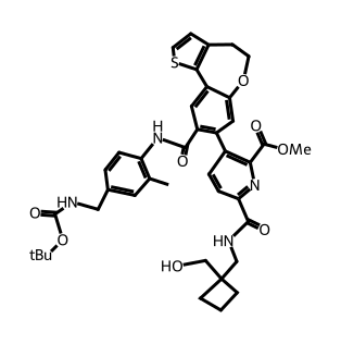 COC(=O)c1nc(C(=O)NCC2(CO)CCC2)ccc1-c1cc2c(cc1C(=O)Nc1ccc(CNC(=O)OC(C)(C)C)cc1C)-c1sccc1CCO2